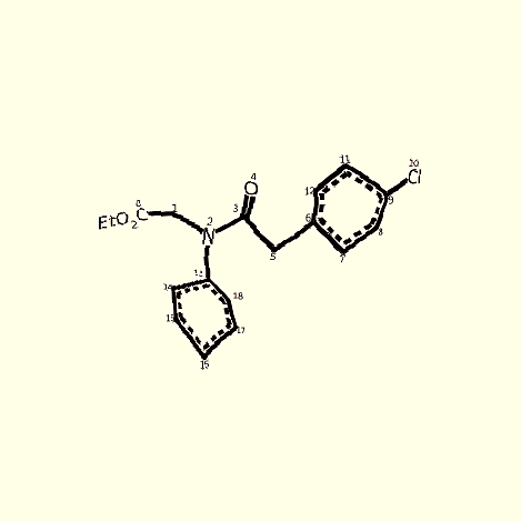 CCOC(=O)CN(C(=O)Cc1ccc(Cl)cc1)c1ccccc1